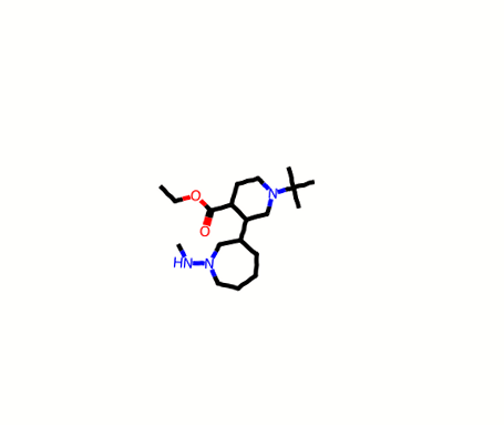 CCOC(=O)C1CCN(C(C)(C)C)CC1C1CCCCN(NC)C1